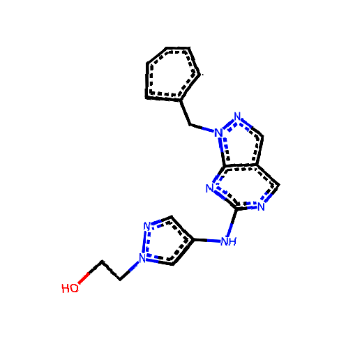 OCCn1cc(Nc2ncc3cnn(Cc4[c]cccc4)c3n2)cn1